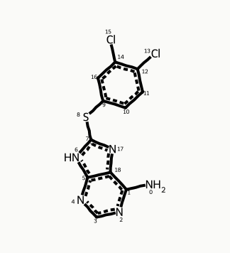 Nc1ncnc2[nH]c(Sc3ccc(Cl)c(Cl)c3)nc12